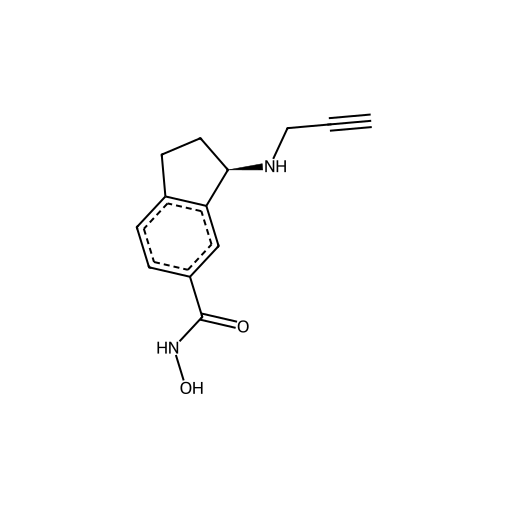 C#CCN[C@@H]1CCc2ccc(C(=O)NO)cc21